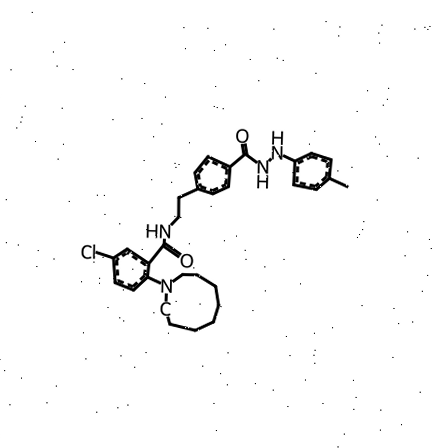 Cc1ccc(NNC(=O)c2ccc(CCNC(=O)c3cc(Cl)ccc3N3CCCCCCCC3)cc2)cc1